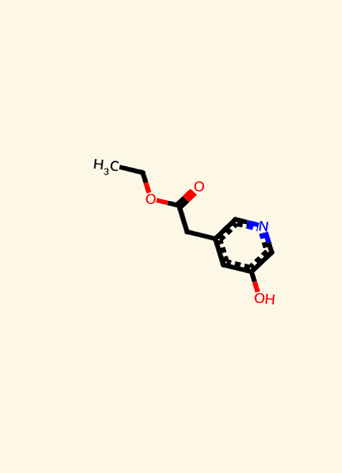 CCOC(=O)Cc1cncc(O)c1